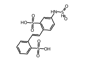 O=[SH](=O)Nc1ccc(C=Cc2ccccc2S(=O)(=O)O)c(S(=O)(=O)O)c1